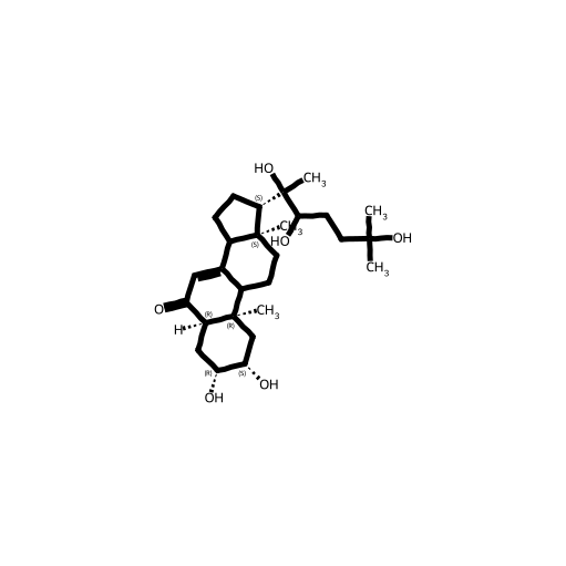 CC(C)(O)CCC(O)C(C)(O)[C@H]1CCC2C3=CC(=O)[C@@H]4C[C@@H](O)[C@@H](O)C[C@]4(C)C3CC[C@@]21C